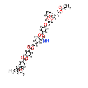 C=CC(=O)OCCCCOCC(COc1ccc(C(=O)Oc2ccc(CCOC(=O)c3ccc(OC(=O)c4ccc(OC(C)(C)C)cc4)cc3)cc2C=N)cc1)OC(=O)C=C